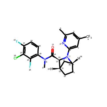 Cc1cc(C(F)(F)F)cc(N2[C@@H]3CC[C@@H](C3)[C@H]2C(=O)N(C)c2ccc(F)c(Cl)c2F)n1